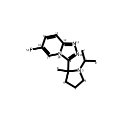 CC(C)N1CCCC1(C)c1nnc2ccc(F)cn12